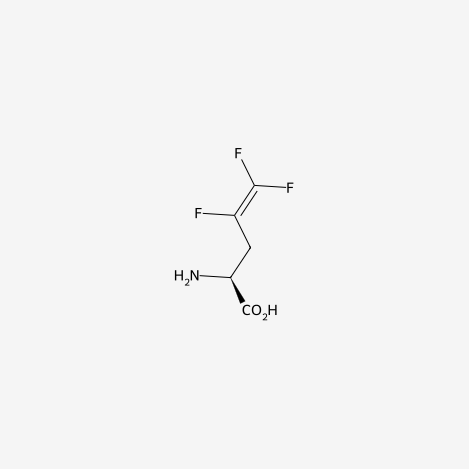 N[C@@H](CC(F)=C(F)F)C(=O)O